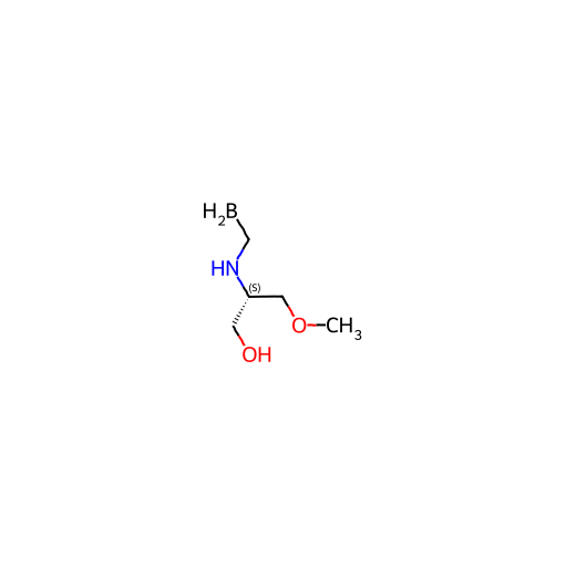 BCN[C@@H](CO)COC